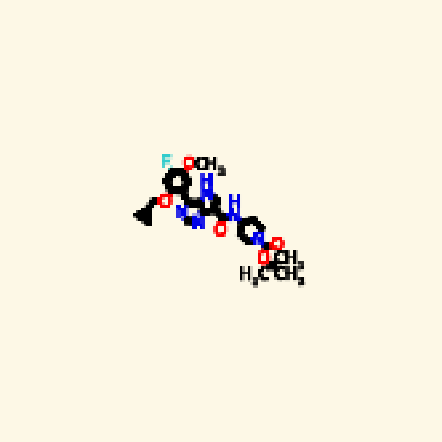 COc1cc(-c2ncnc3c(C(=O)NC4CCN(C(=O)OC(C)(C)C)CC4)c[nH]c23)c(OCC2CC2)cc1F